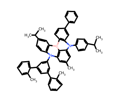 Cc1cc2c3c(c1)N(c1ccc(C(C)C)cc1)c1cc(-c4ccccc4)ccc1B3c1cc(C(C)C)ccc1N2c1cc(-c2ccccc2C)cc(-c2ccccc2C)c1